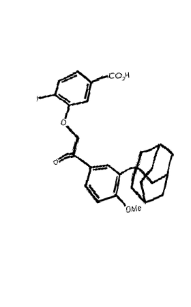 COc1ccc(C(=O)COc2cc(C(=O)O)ccc2I)cc1C12CC3CC(CC(C3)C1)C2